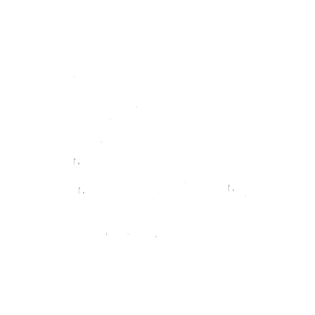 CCOC(=O)c1nnc(-c2ccccc2)cc1-c1cccc([N+](=O)[O-])c1